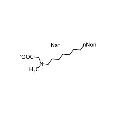 CCCCCCCCCCCCCCCCN(C)CC(=O)[O-].[Na+]